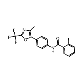 Cc1ccccc1C(=O)Nc1ccc(-c2oc(C(F)(F)F)nc2C)cc1